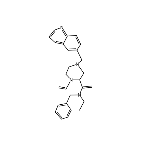 C=CN1CCN(Cc2ccc3ncccc3c2)CC1C(=C)N(CC)Cc1ccccc1